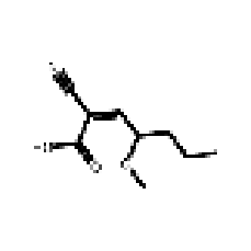 CCCC(C=C(C#N)C(=O)O)OC